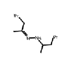 C[C](CC(C)C)NN=C(C)CC(C)C